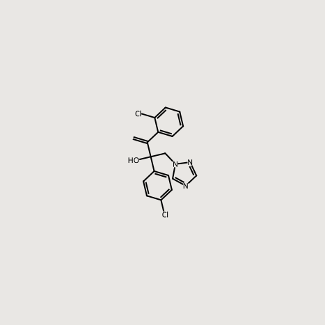 C=C(c1ccccc1Cl)C(O)(Cn1cncn1)c1ccc(Cl)cc1